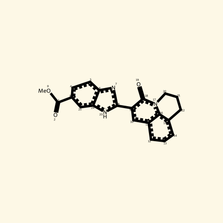 COC(=O)c1ccc2nc(-c3cc4cccc5c4n(c3=O)CCC5)[nH]c2c1